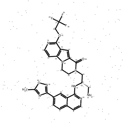 Cc1nc(-c2ccc3ccnc(N[C@@H](CN)CN4CCn5c(cc6c(OCC(F)(F)F)nccc65)C4=O)c3c2)no1